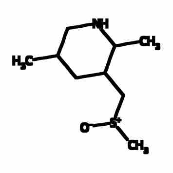 CC1CNC(C)C(C[S+](C)[O-])C1